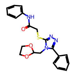 O=C(CSc1nnc(-c2ccccc2)n1CC1OCCO1)Nc1ccccc1